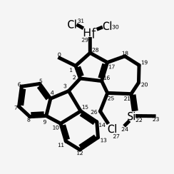 CC1=C(C2c3ccccc3-c3ccccc32)C2=C(CCCC(=[Si](C)C)C2CCl)[CH]1[Hf]([Cl])[Cl]